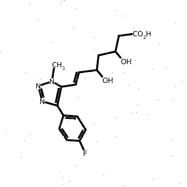 Cn1nnc(-c2ccc(F)cc2)c1/C=C/C(O)CC(O)CC(=O)O